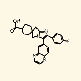 O=C(O)C1CCC2(CC1)Cc1nc(-c3ccc(F)cc3)c(-c3ccc4nccnc4c3)n1C2